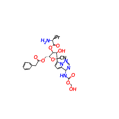 CC(C)[C@H](N)C(=O)O[C@H]1[C@@H](O)[C@](C#N)(c2ccc3c(NC(=O)OCO)ncnn23)O[C@@H]1COC(=O)Cc1ccccc1